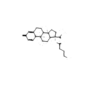 CCCCC(=O)O[C@]1(C(C)=O)[C@@H](C)C[C@H]2[C@@H]3CCC4=CC(=O)C=C[C@]4(C)[C@@]3(Cl)[C@@H](Cl)C[C@@]21C